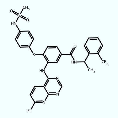 CC(C)c1ccc2c(Nc3cc(C(=O)NC(C)c4ccccc4C(F)(F)F)ccc3Sc3ccc(NS(C)(=O)=O)cc3)ncnc2n1